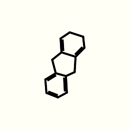 C1=C2Cc3ccccc3CC2=CCC1